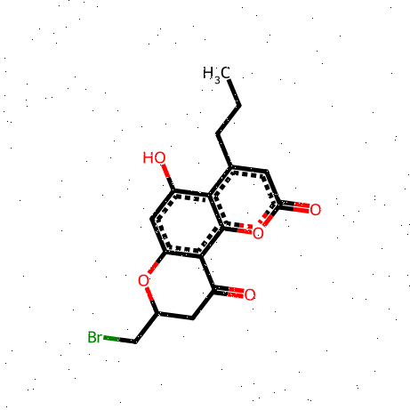 CCCc1cc(=O)oc2c3c(cc(O)c12)OC(CBr)CC3=O